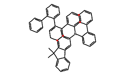 CC1(C)c2ccccc2-c2cc(N(c3ccccc3C3=CCCC=C3c3ccccc3-c3ccccc3)c3ccccc3-c3ccccc3)ccc21